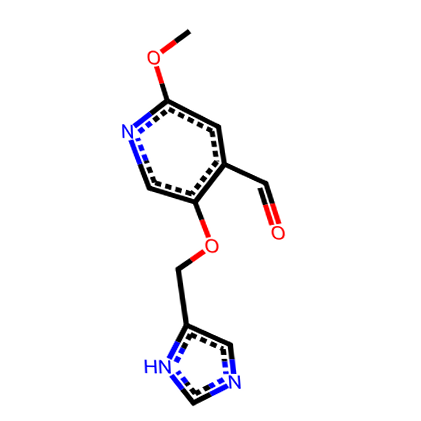 COc1cc(C=O)c(OCc2cnc[nH]2)cn1